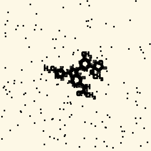 CO[C@]1(c2cc(C)cc(-c3cc(-c4cnn(C)c4)n4cnc(NC(C)=O)cc34)n2)CCOC1